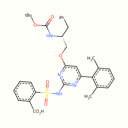 Cc1cccc(C)c1-c1cc(OC[C@@H](CC(C)C)NC(=O)OC(C)(C)C)nc(NS(=O)(=O)c2ccccc2C(=O)O)n1